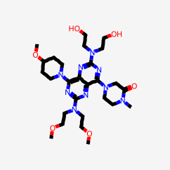 COCCN(CCOC)c1nc(N2CCC(OC)CC2)c2nc(N(CCO)CCO)nc(N3CCN(C)C(=O)C3)c2n1